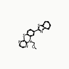 COCN1c2cc(-c3nc4ccccc4s3)ccc2Sc2nccnc21